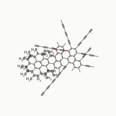 BBB(B)B(B(B)B)c1c(B(B(B)B)B(B)B)c(B(BB)B(B)B)c(B(B)B(B)B)c2c(B(B)BB)c(-c3c(C)c(C)c(C)c4c(-c5c(C#CC#CC#CC#CC#C)c6c(C)c(C)c(C#CC)c(C#CC#C)c6c6c(C#CC#CC)c(C#CC#CC#C)c(C#CC#CC#CC)c(C#CC#CC#CC#C)c56)c5c(C)c(C)c(C)c(C)c5c(C)c34)c(BB)c(B)c12